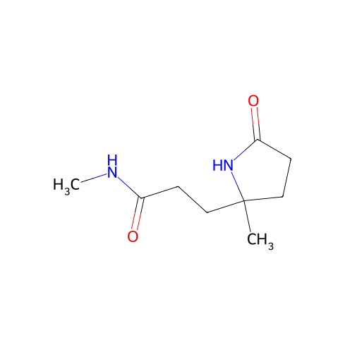 CNC(=O)CCC1(C)CCC(=O)N1